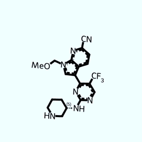 COCn1cc(-c2nc(N[C@H]3CCCNC3)ncc2C(F)(F)F)c2ccc(C#N)nc21